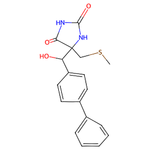 CSCC1(C(O)c2ccc(-c3ccccc3)cc2)NC(=O)NC1=O